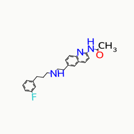 CC(=O)Nc1ccc2cc(CCNCCCc3cccc(F)c3)ccc2n1